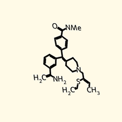 C=CS/C(=C\C)CN1CCC(=C(c2ccc(C(=O)NC)cc2)c2cccc(C(=C)N)c2)CC1